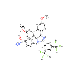 COc1ccc(-c2nc(-c3cc(C(F)(F)F)cc(C(F)(F)F)c3)n(Cc3ccc(C(N)=O)cc3)c2-c2ccc(OC)cc2)cc1